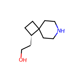 OCC[C@@H]1CCC12CCNCC2